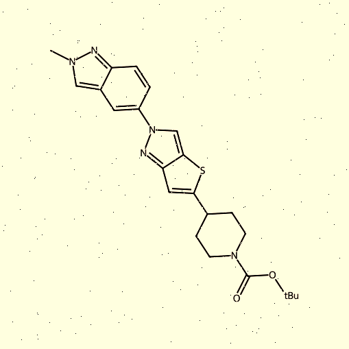 Cn1cc2cc(-n3cc4sc(C5CCN(C(=O)OC(C)(C)C)CC5)cc4n3)ccc2n1